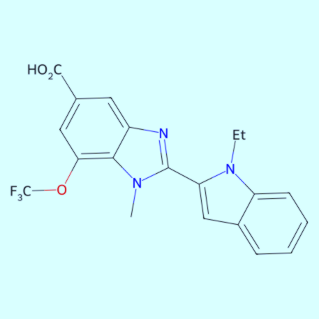 CCn1c(-c2nc3cc(C(=O)O)cc(OC(F)(F)F)c3n2C)cc2ccccc21